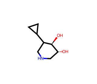 O[C@@H]1CNCC(C2CC2)[C@H]1O